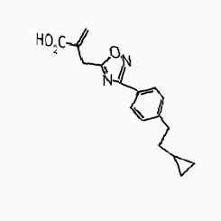 C=C(Cc1nc(-c2ccc(CCC3CC3)cc2)no1)C(=O)O